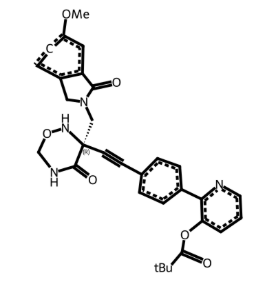 COc1ccc2c(c1)C(=O)N(C[C@@]1(C#Cc3ccc(-c4ncccc4OC(=O)C(C)(C)C)cc3)NOCNC1=O)C2